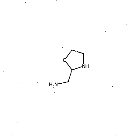 NCC1NCCO1